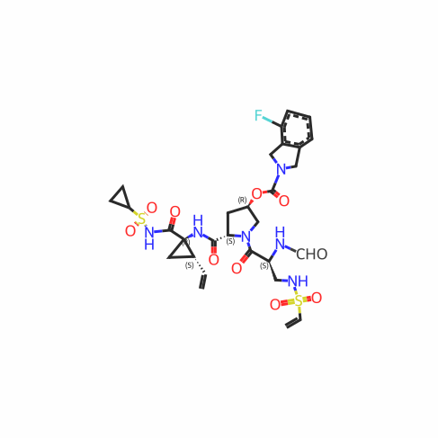 C=C[C@@H]1C[C@]1(NC(=O)[C@@H]1C[C@@H](OC(=O)N2Cc3cccc(F)c3C2)CN1C(=O)[C@H](CNS(=O)(=O)C=C)NC=O)C(=O)NS(=O)(=O)C1CC1